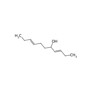 CC/C=C/CCC(O)/C=C/CC